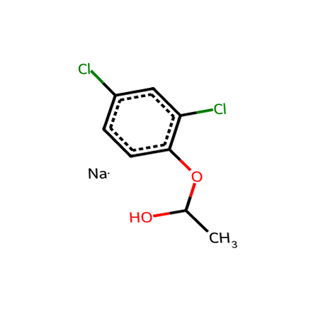 CC(O)Oc1ccc(Cl)cc1Cl.[Na]